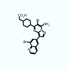 Nc1c(Br)c(C2CCC(CC(=O)O)CC2)nc2c(-c3cc(Br)c4ncccc4c3)cnn12